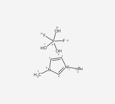 CCCC[n+]1ccn(C)c1.OP(O)(O)(F)F